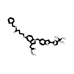 COC(=O)Cc1cn(Cc2ccc3oc(-c4nc(C(C)(C)C)cs4)cc3c2)c2ccc(OCCCC(=O)OCc3ccccc3)cc12